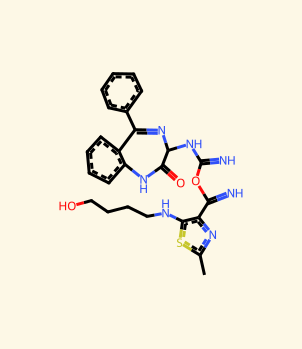 Cc1nc(C(=N)OC(=N)NC2N=C(c3ccccc3)c3ccccc3NC2=O)c(NCCCCO)s1